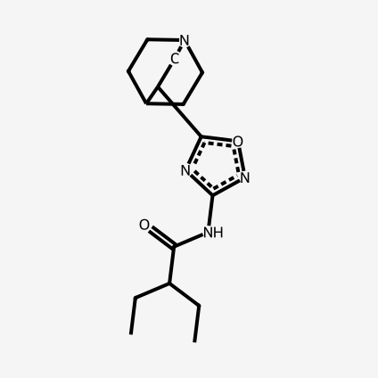 CCC(CC)C(=O)Nc1noc(C2CN3CCC2CC3)n1